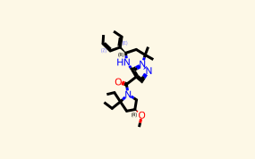 C/C=C\C(=C/C)[C@H]1CC(C)(C)n2ncc(C(=O)N3C[C@H](OC)CC3(CC)CC)c2N1